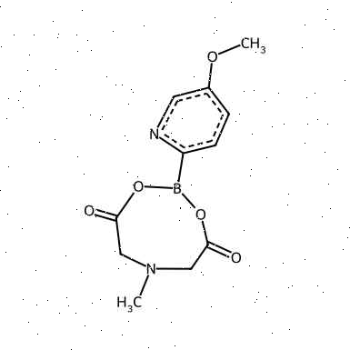 COc1ccc(B2OC(=O)CN(C)CC(=O)O2)nc1